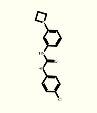 O=C(Nc1ccc(Cl)cc1)Nc1cccc(N2CCC2)c1